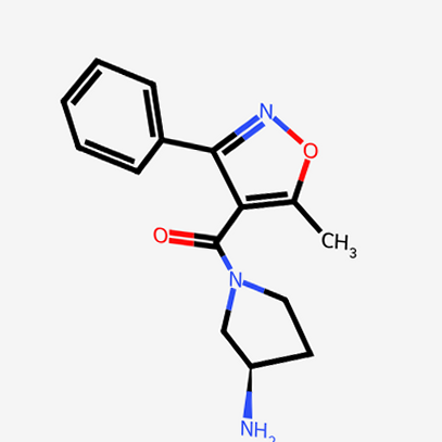 Cc1onc(-c2ccccc2)c1C(=O)N1CC[C@@H](N)C1